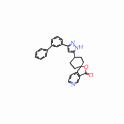 O=C1O[C@]2(CC[C@H](c3cc(-c4cccc(-c5ccccc5)c4)n[nH]3)CC2)c2ccncc21